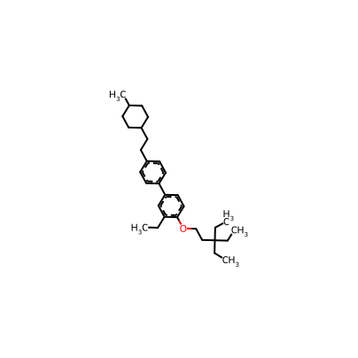 CCc1cc(-c2ccc(CCC3CCC(C)CC3)cc2)ccc1OCCC(CC)(CC)CC